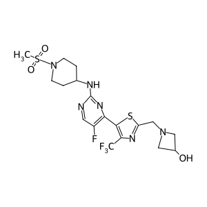 CS(=O)(=O)N1CCC(Nc2ncc(F)c(-c3sc(CN4CC(O)C4)nc3C(F)(F)F)n2)CC1